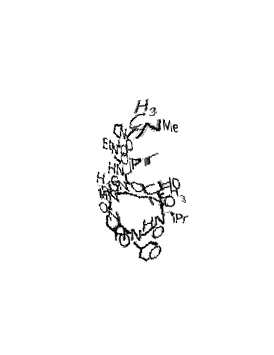 CCN(CC(=O)N[C@@H](CC(C)C)C(=O)N(C)C1C[C@@H](C=O)N(C)C(=O)[C@H](CC(C)C)NC(=O)CN(CC2CCOCC2)C(=O)[C@H]2CCCN2C(=O)[C@H](CC(C)C)NC1=O)C(=O)[C@H]1CCCN1C(=O)[C@H](C)NC